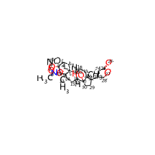 C[N+](=O)OCC12CCC(O[N+](=O)[O-])CC1(C)CC[C@@H]1[C@@H]2CCC2(C)C(C3=CC(=O)OC3)CCC12O